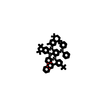 Cc1cc2c(cc1N1c3cc4c(cc3B3c5ccc(-c6ccccc6)cc5N(c5ccc(C(C)(C)C)cc5-c5ccccc5)c5cc(N(c6ccccc6)c6ccccc6)cc1c53)C(C)(C)CC4(C)C)C(C)(C)CCC2(C)C